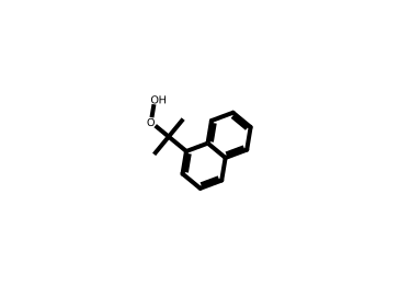 CC(C)(OO)c1cccc2ccccc12